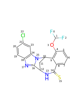 FC(F)Oc1cccc2c1C1CC(NC2=S)c2nc3ccc(Cl)cc3n21